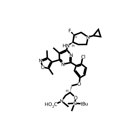 Cc1noc(C)c1-c1nc(-c2cc(OC[C@@H](CN(C)C(=O)O)O[Si](C)(C)C(C)(C)C)ccc2Cl)nc(N[C@@H]2CCN(C3CC3)C[C@@H]2F)c1C